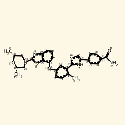 Cc1ccc(Nc2cccc3nc(N4C[C@@H](C)O[C@@H](C)C4)sc23)cc1-c1ncc(-c2ccc(C(N)=O)cc2)[nH]1